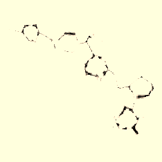 N#Cc1ccc(N2CCN(C(=O)c3ccnc(OCC4CCCN4c4cn[nH]c(=O)c4C(F)(F)F)n3)CC2)nc1